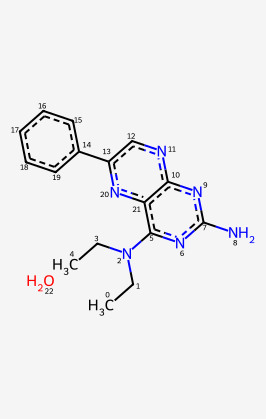 CCN(CC)c1nc(N)nc2ncc(-c3ccccc3)nc12.O